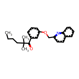 CCCCC(C)(C)C(=O)c1cccc(OCc2ccc3ccccc3n2)c1